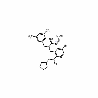 CCN(CC1CCCC1)c1ncc(Br)cc1CN(Cc1cc(C(F)(F)F)cc(C(F)(F)F)c1)C(=N)/N=N\NC